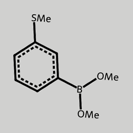 COB(OC)c1cccc(SC)c1